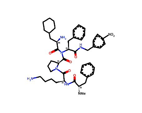 CN[C@@H](Cc1ccccc1)C(=O)N[C@@H](CCCCN)C(=O)N1CCC[C@H]1C(=O)N(C(=O)[C@H](N)CC1CCCCC1)[C@@H](Cc1ccccc1)C(=O)NCc1ccc([N+](=O)[O-])cc1